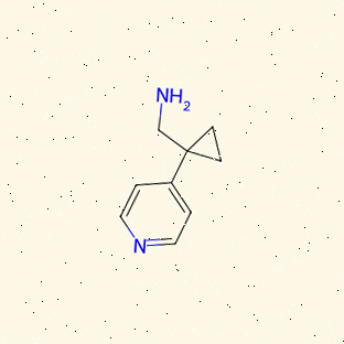 NCC1(c2ccncc2)CC1